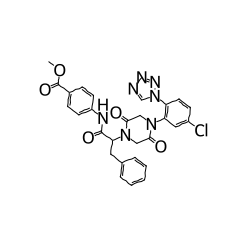 COC(=O)c1ccc(NC(=O)C(Cc2ccccc2)N2CC(=O)N(c3cc(Cl)ccc3-n3cnnn3)CC2=O)cc1